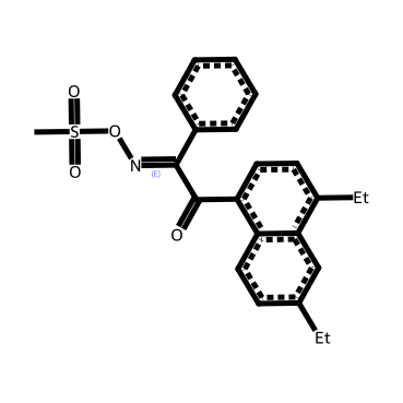 CCc1ccc2c(C(=O)/C(=N/OS(C)(=O)=O)c3ccccc3)ccc(CC)c2c1